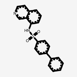 O=S(=O)(Nc1cccc2ccncc12)c1ccc(-c2ccccc2)cc1